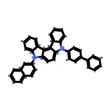 c1ccc(-c2ccc(-n3c4ccccc4c4c5c6ccccc6n(-c6ccc7ccccc7c6)c5ccc43)cc2)cc1